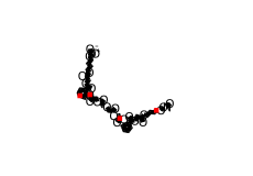 O=NOOCCCCOC(=O)COC(=O)c1ccccc1OC(=O)COC(=O)COCC(=O)OCC(=O)Oc1ccccc1C(=O)OCC(=O)OCCCCO[N+](=O)[O-]